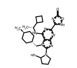 CCCC1CCCN1c1nc2nc(-c3nc(=O)o[nH]3)nc(N[C@H](C)C3CCC3)c2n1C[C@H]1CC[C@H](C)CC1